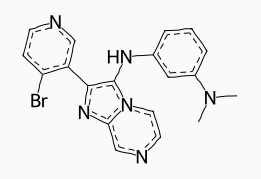 CN(C)c1cccc(Nc2c(-c3cnccc3Br)nc3cnccn23)c1